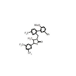 COc1ccc(C(C)C)cc1-c1ccc(C(F)(F)F)cc1CN1C(=O)SC(c2cc(C(F)(F)F)cc(C(F)(F)F)c2)C1C